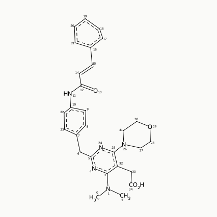 CN(C)c1nc(Cc2ccc(NC(=O)/C=C/c3ccccc3)cc2)nc(N2CCOCC2)c1CC(=O)O